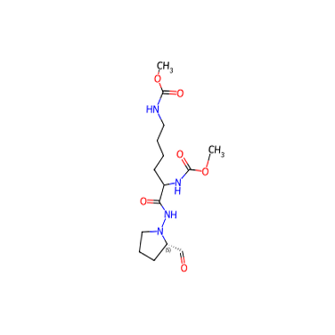 COC(=O)NCCCCC(NC(=O)OC)C(=O)NN1CCC[C@H]1C=O